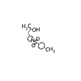 C=C(O)Cc1ccn(S(=O)(=O)c2ccc(C)cc2)c1